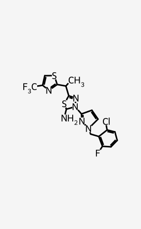 CC(C1=NN(c2ccn(Cc3c(F)cccc3Cl)n2)C(N)S1)c1nc(C(F)(F)F)cs1